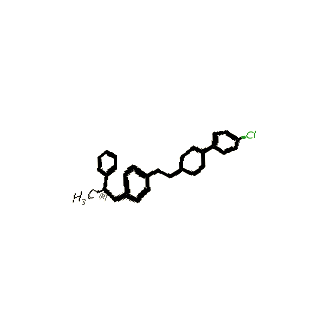 C[C@H](Cc1ccc(CCC2CCC(c3ccc(Cl)cc3)CC2)cc1)c1ccccc1